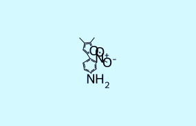 Cc1cc(-c2ccc(N)cc2[N+](=O)[O-])oc1C